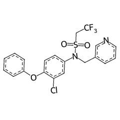 O=S(=O)(CC(F)(F)F)N(Cc1cccnc1)c1ccc(Oc2ccccc2)c(Cl)c1